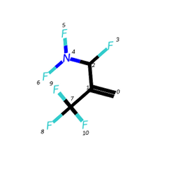 C=C(C(F)N(F)F)C(F)(F)F